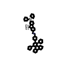 CCC1(CC)c2cc(/C=C/c3ccc(-c4cc(-c5ccccc5)c5c6ccccc6c6ccccc6c5c4-c4ccccc4)cc3)ccc2-c2ccc(N(c3ccccc3)c3ccccc3)cc21